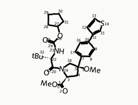 COC(=O)[C@@H]1C[C@@](OC)(c2ccc(-c3ccsc3)cc2)CN1C(=O)[C@@H](NC(=O)OC1CCCC1)C(C)(C)C